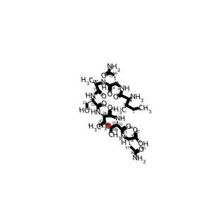 CC[C@H](C)[C@H](N)C(=O)N[C@@H](CC(N)=O)C(=O)N[C@@H](C)C(=O)N[C@@H](CO)C(=O)N[C@H](C(=O)N[C@H](C(=O)N[C@@H](CC(N)=O)C(=O)O)C(C)C)C(C)C